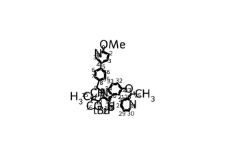 COc1ccc(-c2ccc(Cn3c(CC(C)(C)C(=O)O)c(SC(C)(C)C)c4cc(O[C@@H](C)c5ccccn5)ccc43)cc2)cn1